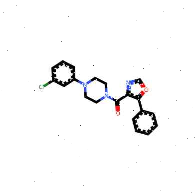 O=C(c1ncoc1-c1ccccc1)N1CCN(c2cccc(Cl)c2)CC1